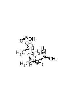 C[SiH](C)C.C[SiH](C)C.C[SiH](C)C.O=PO